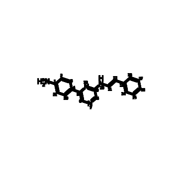 Nc1ccc(-c2cncc(NC=Cc3ccccc3)n2)cc1